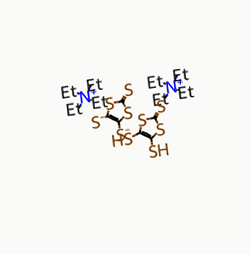 CC[N+](CC)(CC)CC.CC[N+](CC)(CC)CC.S=c1sc(S)c(S)s1.S=c1sc([S-])c([S-])s1